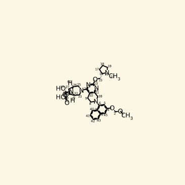 COCOc1cc(N2CCc3c(nc(OC[C@@H]4CCCN4C)nc3N3C[C@@H]4C[C@H](C(=O)O)[C@H](C3)N4C(=O)O)C2)c2ccccc2c1